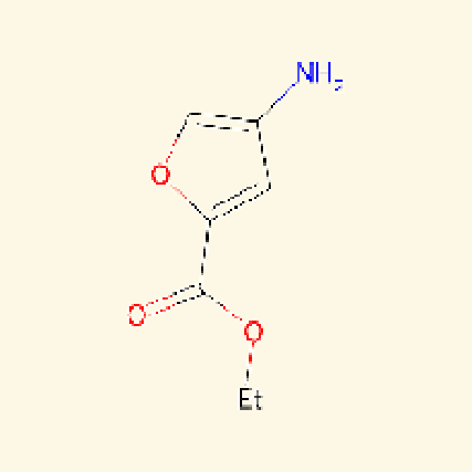 CCOC(=O)c1cc(N)co1